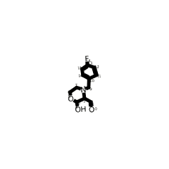 O=CC1C(O)OCCN1Cc1ccc(F)cc1